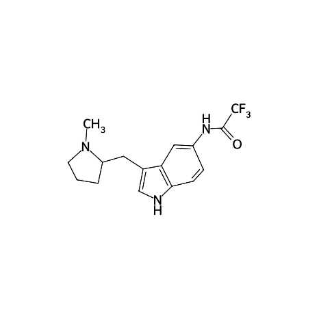 CN1CCCC1Cc1c[nH]c2ccc(NC(=O)C(F)(F)F)cc12